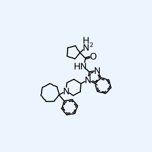 NC1(C(=O)Nc2nc3ccccc3n2C2CCN(C3(c4ccccc4)CCCCCC3)CC2)CCCC1